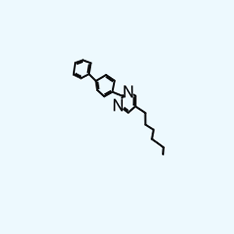 CCCCCCc1cnc(-c2ccc(-c3ccccc3)cc2)nc1